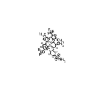 Cc1nc(-c2c(C)c(-c3cccc(S(N)(=O)=O)c3)cc(C)c2-n2cc(C(F)(F)F)nc2C)c(-c2ccc(OC(F)F)cc2)o1